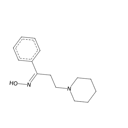 ON=C(CCN1CCCCC1)c1ccccc1